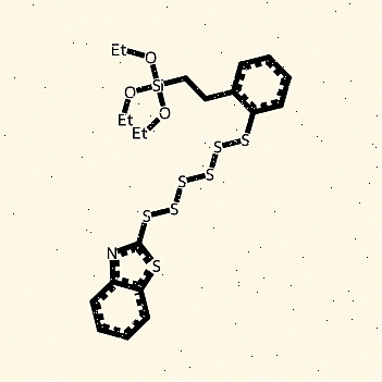 CCO[Si](CCc1ccccc1SSSSSSc1nc2ccccc2s1)(OCC)OCC